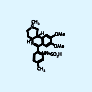 COc1cc2c(cc1OC)[C@H]1CN(C)CC[C@H]1N=C2c1ccc(C)cc1NS(=O)(=O)O